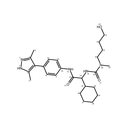 Cc1n[nH]c(C)c1-c1ccc(NC(=O)C(NC(=O)N(C)CCCCO)C2CCCCC2)cc1